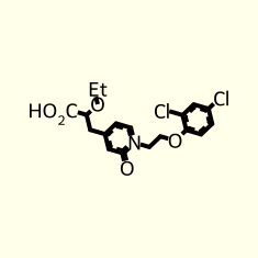 CCOC(Cc1ccn(CCOc2ccc(Cl)cc2Cl)c(=O)c1)C(=O)O